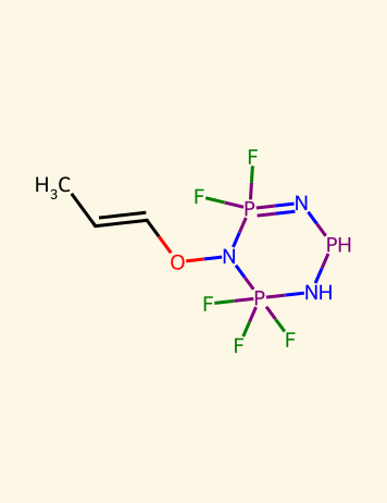 CC=CON1P(F)(F)=NPNP1(F)(F)F